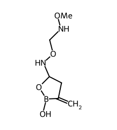 C=C1CC(NOCNOC)OB1O